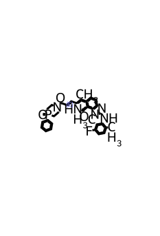 Cc1ccc(F)cc1Nc1nc2ccc3c(C)c(/C=C/C(=O)N4CCP(=O)(c5ccccc5)CC4)[nH]c(=O)c3c2n1C